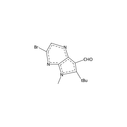 Cn1c(C(C)(C)C)c(C=O)c2ncc(Br)nc21